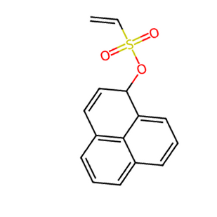 C=CS(=O)(=O)OC1C=Cc2cccc3cccc1c23